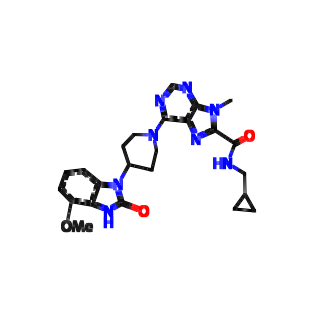 COc1cccc2c1[nH]c(=O)n2C1CCN(c2ncnc3c2nc(C(=O)NCC2CC2)n3C)CC1